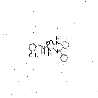 Cc1cccc(CNC(=O)NC2N=C(c3ccccc3)c3ccccc3NC2=O)c1